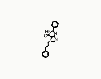 O=c1[nH]c(-c2ccccc2)nc2ncn(CCCc3ccccc3)c12